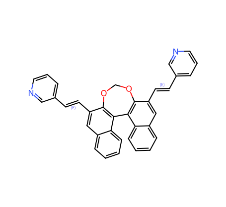 C(=C\c1cc2ccccc2c2c1OCOc1c(/C=C/c3cccnc3)cc3ccccc3c1-2)/c1cccnc1